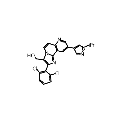 CC(C)n1cc(-c2cnc3ccn4c(CO)c(-c5c(Cl)cccc5Cl)nc4c3c2)cn1